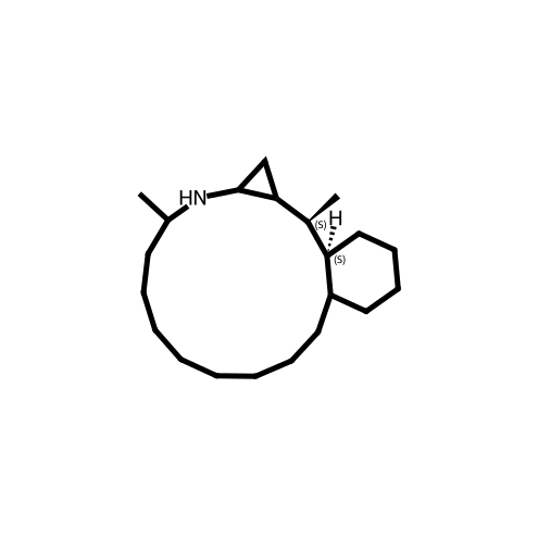 CC1CCCCCCCCC2CCCC[C@@H]2[C@H](C)C2CC2N1